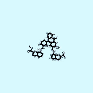 COC(=O)c1ccc2cccc(NCc3c4oc5c(CNc6cccc7ccc(C(C)=O)nc67)c(O)ccc5c(-c5ccccc5C(C)=O)c-4ccc3=O)c2n1